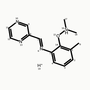 Cc1cccc(N=Cc2cnccn2)c1O[SiH](C)C.[H+]